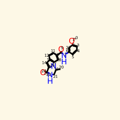 COc1cccc(NC(=O)c2ccc3cc4n(c3c2)C(C)CNC4=O)c1